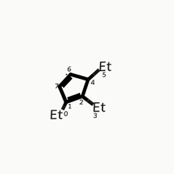 CCC1=C(CC)C(CC)[C]=C1